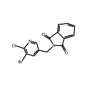 O=C1c2ccccc2C(=O)N1Cc1cnc(Cl)c(Br)c1